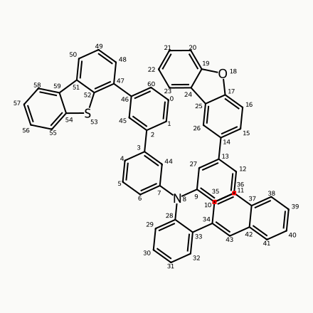 c1cc(-c2cccc(N(c3cccc(-c4ccc5oc6ccccc6c5c4)c3)c3ccccc3-c3ccc4ccccc4c3)c2)cc(-c2cccc3c2sc2ccccc23)c1